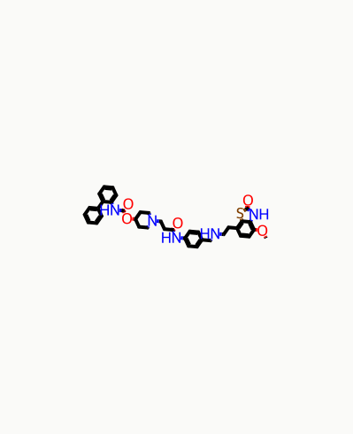 COc1ccc(CCNCc2ccc(NC(=O)CCN3CCC(OC(=O)Nc4ccccc4-c4ccccc4)CC3)cc2)c2sc(=O)[nH]c12